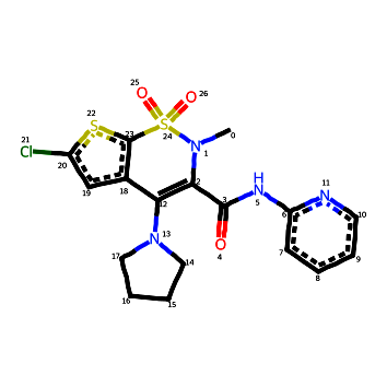 CN1C(C(=O)Nc2ccccn2)=C(N2CCCC2)c2cc(Cl)sc2S1(=O)=O